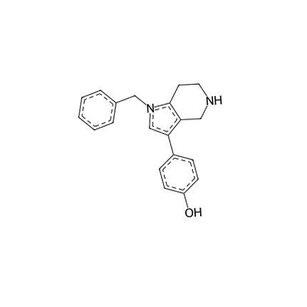 Oc1ccc(-c2cn(Cc3ccccc3)c3c2CNCC3)cc1